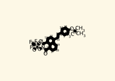 CC(C)(C)Oc1ccc(/C=C/c2ccc3c4c(cccc24)C(=O)N(OS(=O)(=O)C(F)(F)F)C3=O)cc1